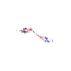 CCCCC(CC)NN1C(C)CC(OC(=O)CCCCCCCCC(=O)OC2CC(C)(C)N(OC(CC)CCCC)C(C)(C)C2)CC1(C)C